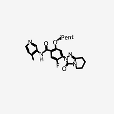 CCCC(C)Oc1cc(-n2nc3n(c2=O)CCCC3)c(F)cc1C(=O)Nc1cnccc1C